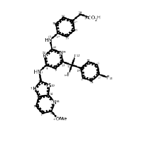 COc1ccc2nc(Nc3cc(C(F)(F)c4ccc(F)cc4)nc(Nc4ccc(CC(=O)O)cc4)n3)sc2n1